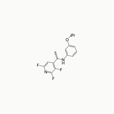 CC(C)Oc1cccc(NC(=S)c2cc(F)nc(F)c2F)c1